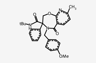 COc1ccc(CN2C(=O)c3ccc(C)nc3OCC2(C(=O)NC(C)(C)C)c2ccccc2)cc1